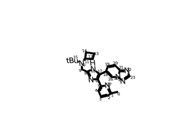 Cc1cccc(-c2nc(CN(C3CCC3)C(C)(C)C)[nH]c2-c2ccc3ncnn3c2)n1